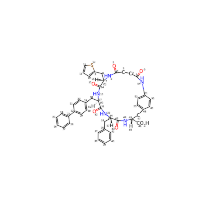 O=C1CCC(=O)N[C@@H](Cc2cccs2)C(=O)N[C@H](Cc2ccc(-c3ccccc3)cc2)C(=O)N[C@@H](Cc2ccccc2)C(=O)N[C@@H](C(=O)O)Cc2ccc(cc2)N1